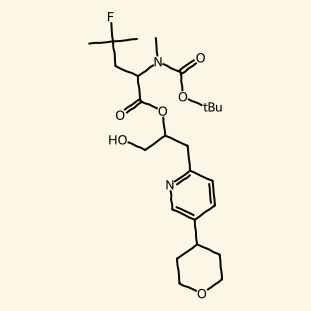 CN(C(=O)OC(C)(C)C)C(CC(C)(C)F)C(=O)OC(CO)Cc1ccc(C2CCOCC2)cn1